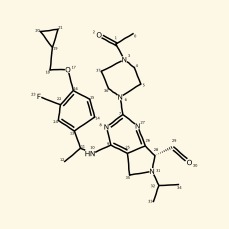 CC(=O)N1CCN(c2nc(NC(C)c3ccc(OCC4CC4)c(F)c3)c3c(n2)[C@H](C=O)N(C(C)C)C3)CC1